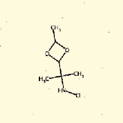 CC1OC(C(C)(C)NCl)O1